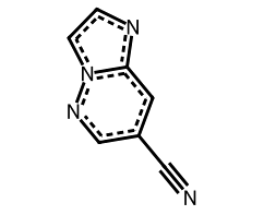 N#Cc1cnn2ccnc2c1